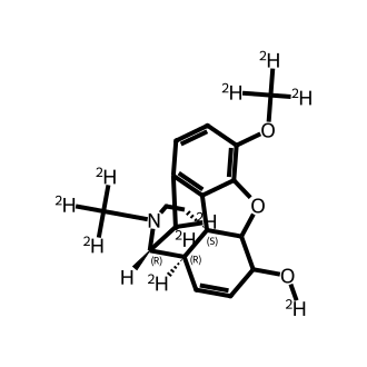 [2H]OC1C=C[C@@]2([2H])[C@@H]3N(C([2H])([2H])[2H])CC[C@@]24c2c(ccc(OC([2H])([2H])[2H])c2OC14)C3([2H])[2H]